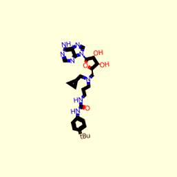 CC(C)(C)c1ccc(NC(=O)NCCCN(CC2CC2)C[C@H]2O[C@@H](n3cnc4c(N)ncnc43)[C@H](O)[C@@H]2O)cc1